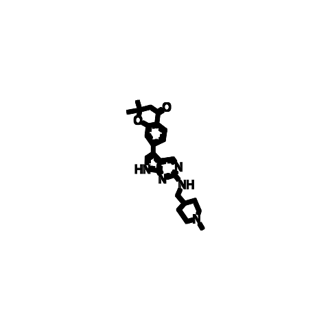 CN1CCC(CNc2ncc3c(-c4ccc5c(c4)OC(C)(C)CC5=O)c[nH]c3n2)CC1